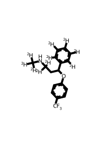 [2H]c1c([2H])c([2H])c(C(CC([2H])([2H])NC([2H])([2H])[2H])Oc2ccc(C(F)(F)F)cc2)c([2H])c1[2H]